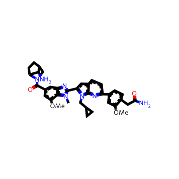 COc1cc(-c2ccc3cc(-c4nc5cc(C(=O)N6CC7CCC6C7N)cc(OC)c5n4C)n(CC4CC4)c3n2)ccc1CC(N)=O